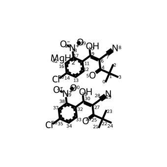 CC(C)(C)C(=O)C(C#N)=C(O)c1ccc(Cl)cc1[N+](=O)[O-].CC(C)(C)C(=O)C(C#N)=C(O)c1ccc(Cl)cc1[N+](=O)[O-].[MgH2]